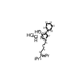 CC(C)N(CCCCn1cc(-c2ccccc2)c(O)n1)C(C)C.Cl.Cl